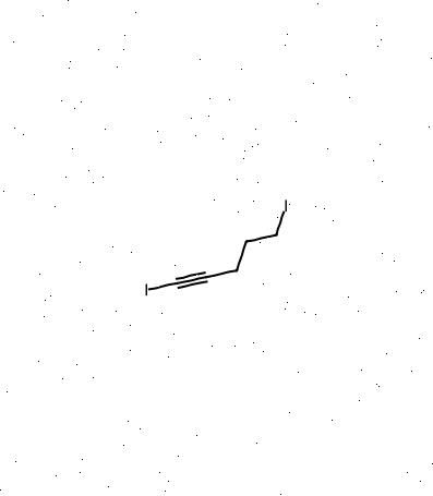 IC#CCCCI